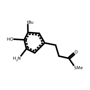 CSC(=O)CCc1cc(N)c(O)c(C(C)(C)C)c1